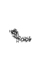 Cc1cc(C(F)(F)F)cnc1N1CCC(CC(=O)NOC[C@H](C)Nc2cn[nH]c(=O)c2C(F)(F)F)CC1